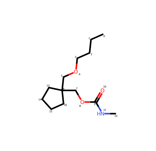 CCCCOCC1(COC(=O)NC)CCCC1